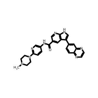 CN1CCN(c2ccc(NC(=O)c3cnc4[nH]cc(-c5ccc6nccnc6c5)c4c3)cn2)CC1